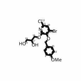 COc1ccc(COc2c(Br)cc(Cl)nc2OCC(O)CO)cc1